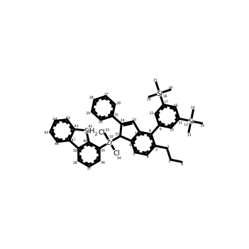 CCCc1ccc2c(c1-c1cc([Si](C)(C)C)cc([Si](C)(C)C)c1)C=C(c1ccccc1)[CH]2[Zr]([Cl])([Cl])[c]1cccc2c1[SiH2]c1ccccc1-2